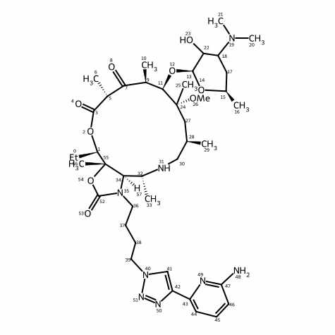 CC[C@H]1OC(=O)[C@H](C)C(=O)[C@@H](C)[C@@H](O[C@@H]2O[C@H](C)CC(N(C)C)C2O)[C@](C)(OC)C[C@@H](C)CN[C@H](C)[C@H]2N(CCCCn3cc(-c4cccc(N)n4)nn3)C(=O)O[C@]12C